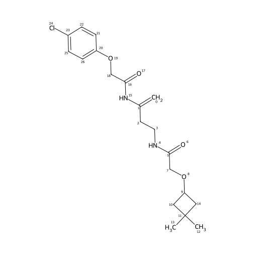 C=C(CCNC(=O)COC1CC(C)(C)C1)NC(=O)COc1ccc(Cl)cc1